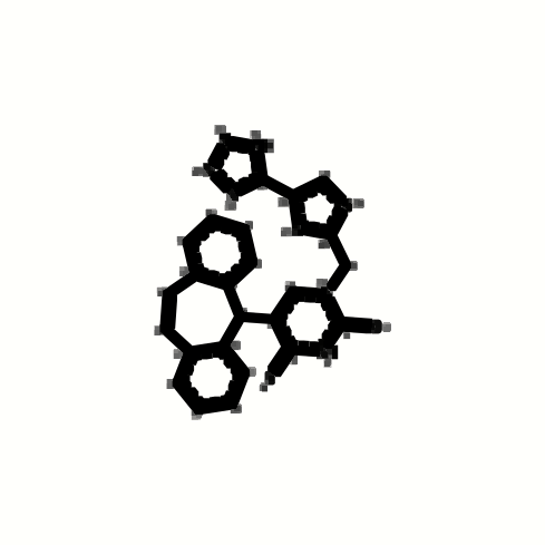 O=c1[nH]c(=S)c(C2c3ccccc3C=Cc3ccccc32)cn1Cc1nc(-c2nnn[nH]2)cs1